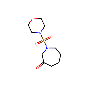 O=C1CCCCN(S(=O)(=O)N2CCOCC2)C1